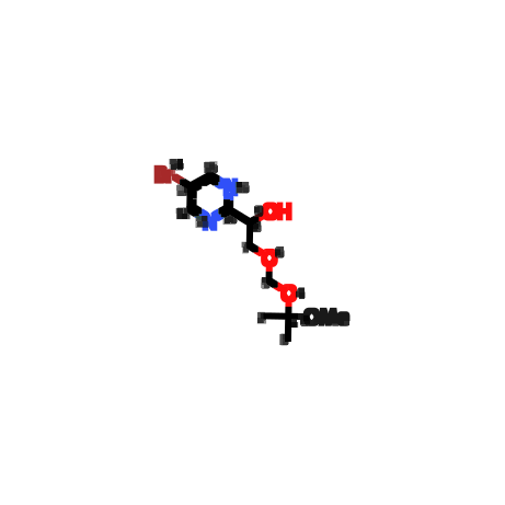 COC(C)(C)OCOCC(O)c1ncc(Br)cn1